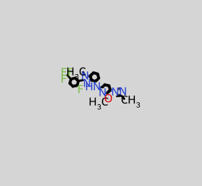 COc1nc(Nc2cccc3c2nc(-c2cc(C(F)(F)F)ccc2F)n3C)ccc1-n1cnc(C)c1